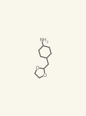 NC1CCC(CC2OCCO2)CC1